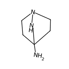 NC12CCN(CC1)NC2